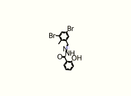 Cc1c(Br)cc(Br)cc1/C=N/NC(=O)c1ccccc1O